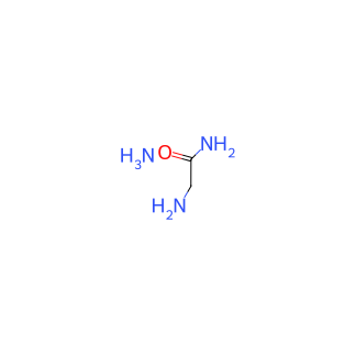 N.NCC(N)=O